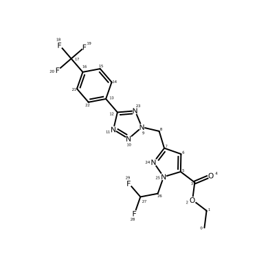 CCOC(=O)c1cc(Cn2nnc(-c3ccc(C(F)(F)F)cc3)n2)nn1CC(F)F